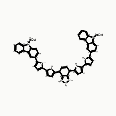 CCCCCCCCn1c2ccccc2c2cc(-c3ccc(-c4ccc(C5C=CC(c6ccc(-c7ccc(-c8ccc9c(c8)c8ccccc8n9CCCCCCCC)s7)s6)c6nsnc65)s4)s3)ccc21